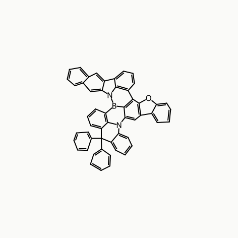 c1ccc(C2(c3ccccc3)c3ccccc3N3c4cc5c(oc6ccccc65)c5c4B(c4cccc2c43)n2c3cc4ccccc4cc3c3cccc-5c32)cc1